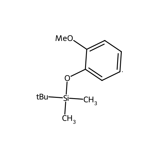 COc1cc[c]cc1O[Si](C)(C)C(C)(C)C